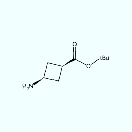 CC(C)(C)OC(=O)[C@H]1C[C@@H](N)C1